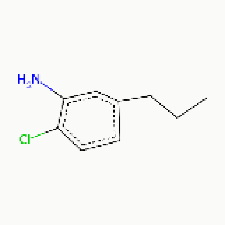 CCCc1ccc(Cl)c(N)c1